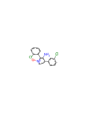 Nc1c(-c2cc[c]c(Cl)c2)cc[n+]([O-])c1-c1ccccc1Cl